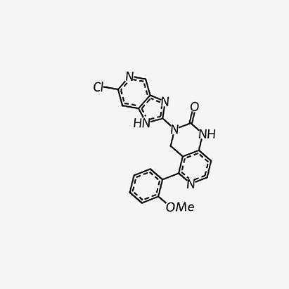 COc1ccccc1-c1nccc2c1CN(c1nc3cnc(Cl)cc3[nH]1)C(=O)N2